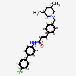 CC1CC(C)CN(Cc2ccc(C=CC(=O)Nc3ccc(-c4ccc(Cl)cc4)cc3)cc2)C1